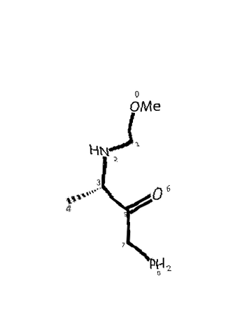 COCN[C@@H](C)C(=O)CP